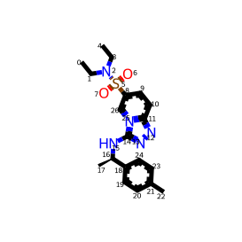 CCN(CC)S(=O)(=O)c1ccc2nnc(N[C@H](C)c3ccc(C)cc3)n2c1